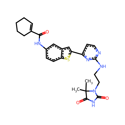 CC1(C)C(=O)NC(=O)N1CCNc1nccc(-c2cc3cc(NC(=O)C4=CCCCC4)ccc3s2)n1